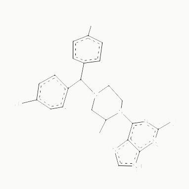 CC1CN(C(c2ccc(F)cc2)c2ccc(F)cc2)CCN1c1nc(Cl)nc2[nH]cnc12